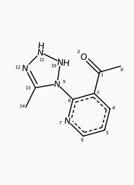 CC(=O)c1cccnc1N1NNN=C1C